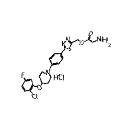 Cl.NCC(=O)OCc1nnc(-c2ccc(N3CCC(Oc4cc(F)ccc4Cl)CC3)cc2)s1